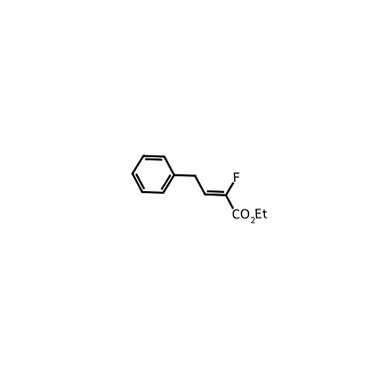 CCOC(=O)/C(F)=C/Cc1ccccc1